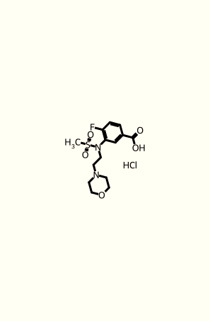 CS(=O)(=O)N(CCN1CCOCC1)c1cc(C(=O)O)ccc1F.Cl